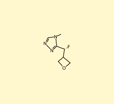 Cn1cnnc1[C@H](F)C1COC1